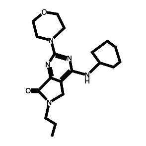 CCCN1Cc2c(NC3CCCCC3)nc(N3CCOCC3)nc2C1=O